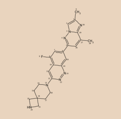 Cc1cn2nc(-c3cc(F)c4cc(N5CCC6(CC5)CNC6)nnc4c3)cc(C)c2n1